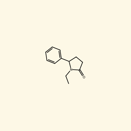 CCN1C(=O)CCC1c1ccccc1